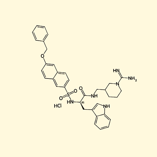 Cl.N=C(N)N1CCCC(CNC(=O)[C@@H](Cc2c[nH]c3ccccc23)NS(=O)(=O)c2ccc3cc(OCc4ccccc4)ccc3c2)C1